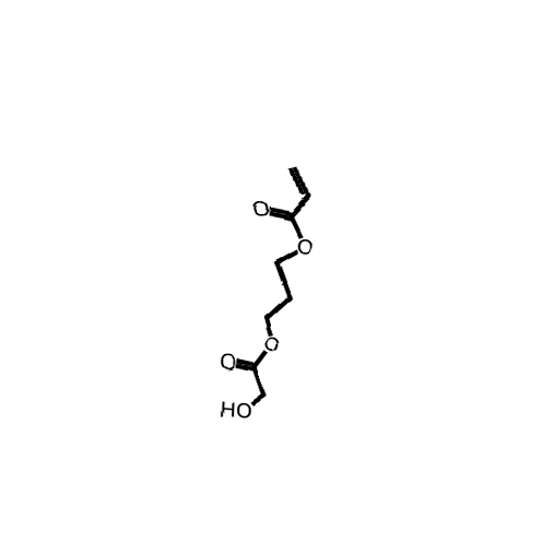 C=CC(=O)OCCCOC(=O)CO